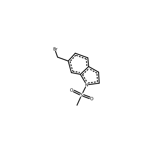 CS(=O)(=O)n1ccc2ccc(CBr)cc21